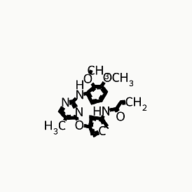 C=CC(=O)Nc1cccc(Oc2nc(Nc3cccc(OC)c3OC)ncc2C)c1